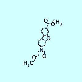 CCOCCN(C=O)c1ccc2c(c1)oc1cc(C(=O)OC)ccc12